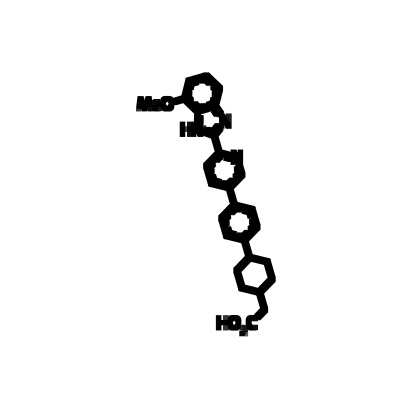 COc1cccc2nc(-c3ccc(-c4ccc(C5CCC(CC(=O)O)CC5)cc4)cn3)[nH]c12